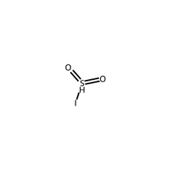 O=[SH](=O)I